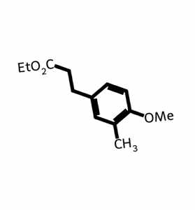 CCOC(=O)CCc1ccc(OC)c(C)c1